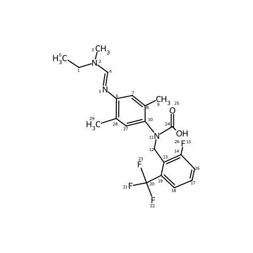 CCN(C)/C=N/c1cc(C)c(N(Cc2c(F)cccc2C(F)(F)F)C(=O)O)cc1C